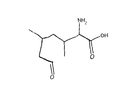 CC(CC=O)CC(C)C(N)C(=O)O